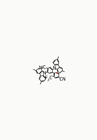 Cc1ccc2c(c1)c1cc(C)ccc1n2-c1cc(-c2ccc(C#N)cc2C(F)(F)F)c(-n2c3ccc(C)cc3c3cc(C)ccc32)cc1C#N